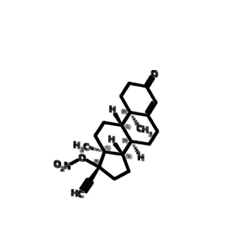 C#C[C@]1(O[N+](=O)[O-])CC[C@H]2[C@@H]3CCC4=CC(=O)CC[C@]4(C)[C@H]3CC[C@@]21C